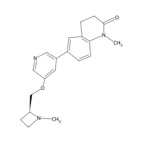 CN1C(=O)CCc2cc(-c3cncc(OC[C@@H]4CCN4C)c3)ccc21